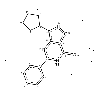 O=c1[nH]c(-c2ccncc2)nc2c(C3CCCC3)noc12